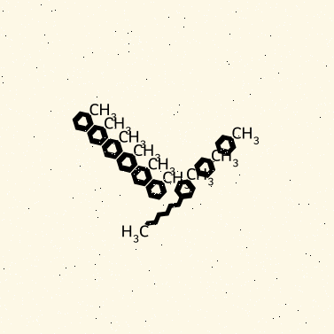 CCCCCCCc1ccc(C)cc1.Cc1ccccc1.Cc1ccccc1.Cc1ccccc1.Cc1ccccc1.Cc1ccccc1.Cc1ccccc1.Cc1ccccc1.Cc1ccccc1